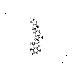 N[C@@H](CC(=O)NC1CCN(C(=O)Nc2ccc(Cl)cc2)CC1)Cc1cc(F)c(F)cc1F